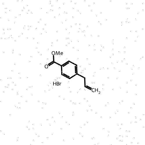 Br.C=CCc1ccc(C(=O)OC)cc1